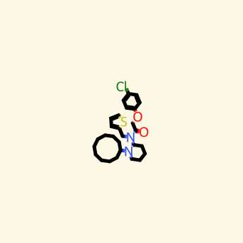 O=C(COc1ccc(Cl)cc1)N(Cc1cccs1)C1CCCCN1C1CCCCCCCCC1